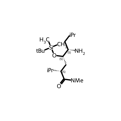 CNC(=O)[C@@H](C[C@H](O[Si](C)(C)C(C)(C)C)[C@@H](N)CC(C)C)C(C)C